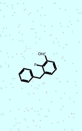 O=Cc1cccc(Cc2ccccc2)c1F